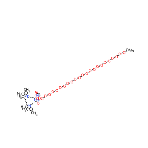 COCCOCCOCCOCCOCCOCCOCCOCCOCCOCCOCCOCCOCCOCCOCCOCCOCCOCCOCCOCCOCCOCCOCCOCCNC(=O)CCCCCN1C(=CC=CC=CC2=[N+](CCCCCC(=O)ON3C(=O)CCC3=O)c3ccc(C)cc3C2(C)C)C(C)(C)c2cc(C)ccc21